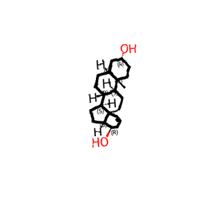 C[C@]12CC[C@@H](O)C[C@@H]1CC[C@@H]1[C@@H]2CC[C@@]23C=CC[C@@H](O)[C@H]2CC[C@@H]13